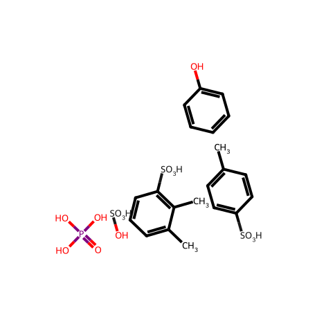 Cc1ccc(S(=O)(=O)O)cc1.Cc1cccc(S(=O)(=O)O)c1C.O=P(O)(O)O.O=S(=O)(O)O.Oc1ccccc1